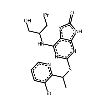 CCc1cccnc1C(C)Sc1nc(NC(CO)CC(C)C)c2sc(=O)[nH]c2n1